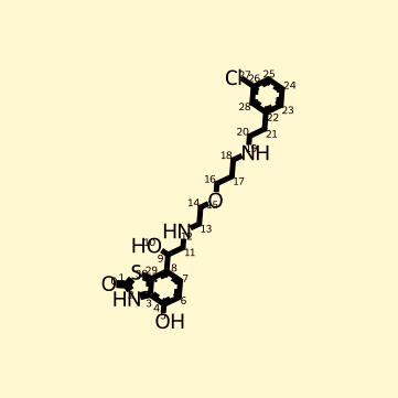 O=c1[nH]c2c(O)ccc(C(O)CNCCOCCCNCCc3cccc(Cl)c3)c2s1